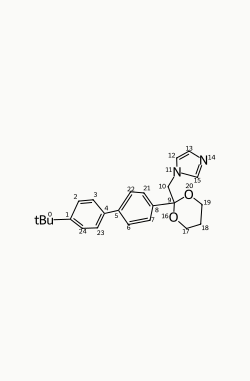 CC(C)(C)c1ccc(-c2ccc(C3(Cn4ccnc4)OCCCO3)cc2)cc1